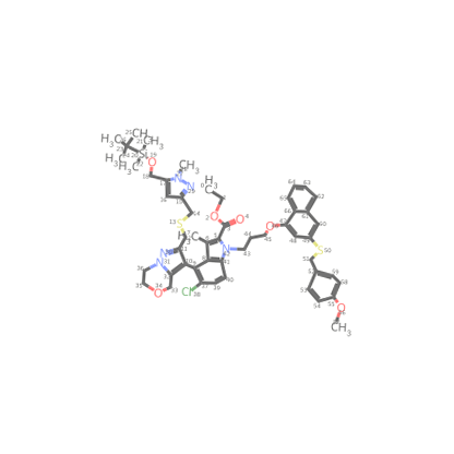 CCOC(=O)c1c(C)c2c(-c3c(CSCc4cc(CO[Si](C)(C)C(C)(C)C)n(C)n4)nn4c3COCC4)c(Cl)ccc2n1CCCOc1cc(SCc2ccc(OC)cc2)cc2ccccc12